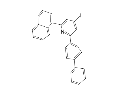 Ic1cc(-c2ccc(-c3ccccc3)cc2)nc(-c2cccc3ccccc23)c1